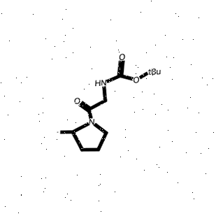 [CH2]C1CCCN1C(=O)CNC(=O)OC(C)(C)C